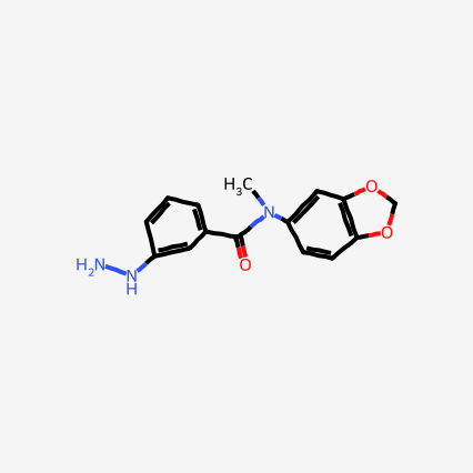 CN(C(=O)c1cccc(NN)c1)c1ccc2c(c1)OCO2